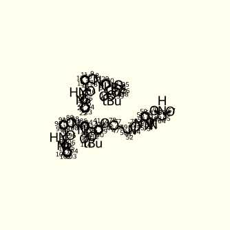 CC(C)(C)OC(=O)c1nc(N2CCc3cccc(C(=O)Nc4nc5ccccc5s4)c3C2)ccc1B1OC(C)(C)C(C)(C)O1.Cc1c(OC2CCC(CC[C@@H](C)N3CCN(c4cccc5c(C6CCC(=O)NC6=O)nn(C)c45)CC3)CC2)cccc1-c1ccc(N2CCc3cccc(C(=O)Nc4nc5ccccc5s4)c3C2)nc1C(=O)OC(C)(C)C